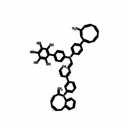 C=C1/C=C\C=C/Cc2ccccc2N1c1cccc(C(/C=C\C)=C/C=C/N(c2ccc(-c3cccccccc(C)c3)cc2)c2ccc(-c3c(O)c(O)c(O)c(O)c3O)cc2)c1